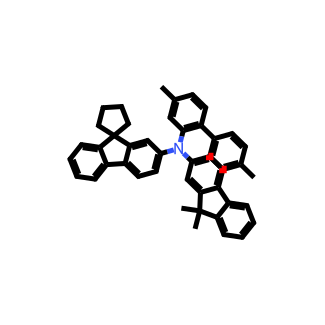 Cc1ccc(-c2ccc(C)cc2N(c2ccc3c(c2)C(C)(C)c2ccccc2-3)c2ccc3c(c2)C2(CCCC2)c2ccccc2-3)cc1